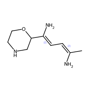 C/C(N)=C/C=C(\N)C1CNCCO1